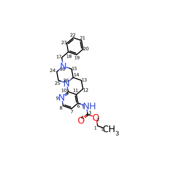 CCOC(=O)Nc1ccnc2c1CCC1CN(Cc3ccccc3)CCN21